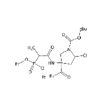 [CH2]CC(=O)C1(NC(=O)C(C)P(=O)(OCC)OCC)CC(Cl)N(C(=O)OC(C)(C)C)C1